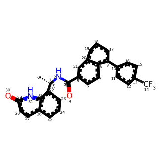 C[C@H](NC(=O)c1ccc2c(-c3ccc(C(F)(F)F)cc3)cccc2c1)c1cccc2ccc(=O)[nH]c12